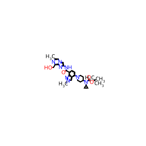 Cc1cn2cc(NC(=O)c3ccc(N4CCC(N(C(=O)OC(C)(C)C)C5CC5)CC4)c4cn(C)nc34)nc2c(CO)n1